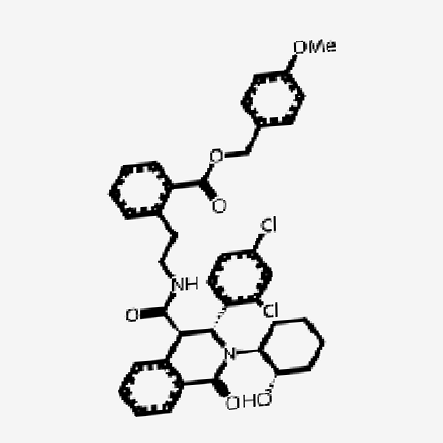 COc1ccc(COC(=O)c2ccccc2CCNC(=O)[C@@H]2c3ccccc3C(=O)N([C@H]3CCCC[C@@H]3O)[C@H]2c2ccc(Cl)cc2Cl)cc1